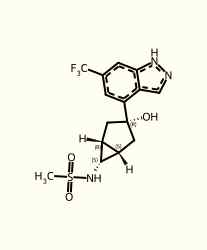 CS(=O)(=O)N[C@@H]1[C@@H]2C[C@@](O)(c3cc(C(F)(F)F)cc4[nH]ncc34)C[C@@H]21